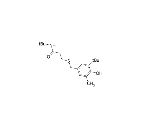 Cc1cc(CSCCC(=O)NC(C)(C)C)cc(C(C)(C)C)c1O